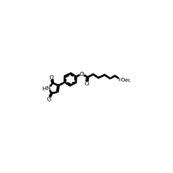 CCCCCCCCCCCCCCCC(=O)Oc1ccc(C2=CC(=O)NC2=O)cc1